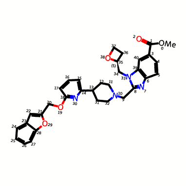 COC(=O)c1ccc2nc(CN3CCC(c4cccc(OCc5cc6ccccc6o5)n4)CC3)n(C[C@@H]3CCO3)c2c1